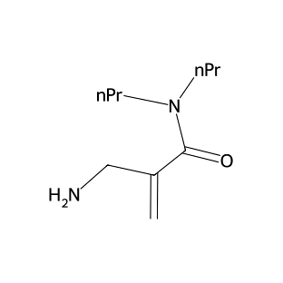 C=C(CN)C(=O)N(CCC)CCC